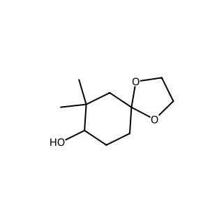 CC1(C)CC2(CCC1O)OCCO2